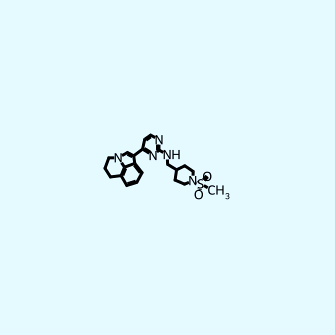 CS(=O)(=O)N1CCC(CNc2nccc(-c3cn4c5c(cccc35)CCC4)n2)CC1